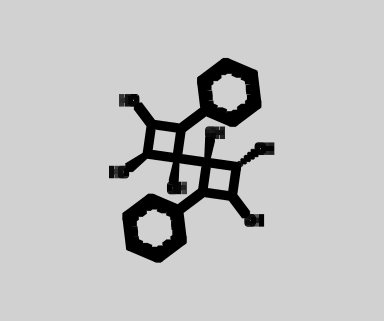 OC1C(c2ccccc2)[C@](O)([C@@]2(O)C(c3ccccc3)C(O)[C@@H]2O)[C@@H]1O